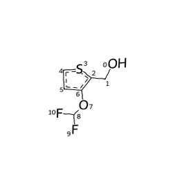 OCc1sccc1OC(F)F